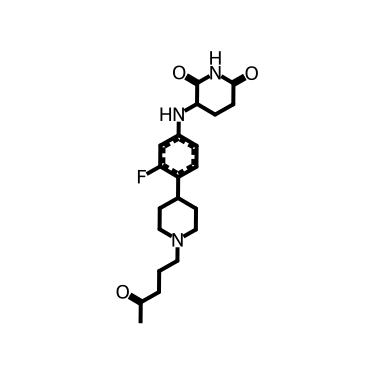 CC(=O)CCCN1CCC(c2ccc(NC3CCC(=O)NC3=O)cc2F)CC1